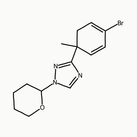 CC1(c2ncn(C3CCCCO3)n2)C=CC(Br)=CC1